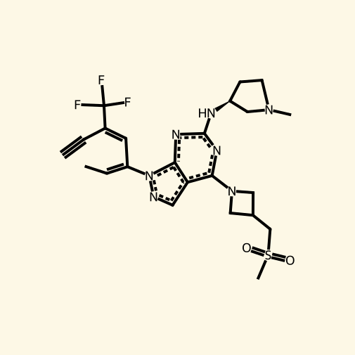 C#C/C(=C\C(=C/C)n1ncc2c(N3CC(CS(C)(=O)=O)C3)nc(N[C@H]3CCN(C)C3)nc21)C(F)(F)F